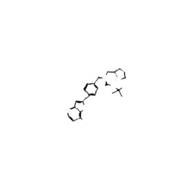 CC(C)(C)OC(=O)N(Cc1ccc(-c2cc3nccc(Cl)c3s2)cc1)CC1CCCO1